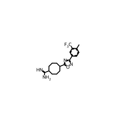 Cc1ccc(-c2noc(C3CCCC(C(=N)N)CCC3)n2)cc1C(F)(F)F